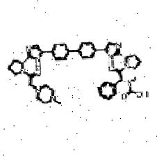 CN1CCN(CC(=O)N2CCC[C@H]2c2ncc(-c3ccc(-c4ccc(-c5cnc([C@@H]6CCCN6C(=O)[C@@H](c6ccccc6)N(C)C(=O)O)[nH]5)cc4)cc3)[nH]2)CC1